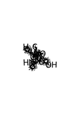 C=CCN1CC(=O)N2[C@@H](Cc3ccc(O)cc3)C(=O)N(Cc3n[nH]c4ccccc34)C[C@@H]2N1C(=O)NCc1ccccc1